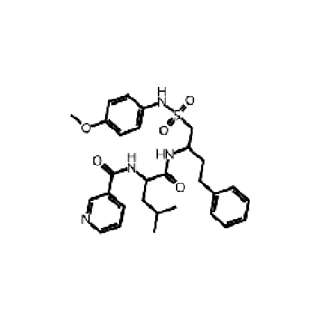 COc1ccc(NS(=O)(=O)CC(CCc2ccccc2)NC(=O)C(CC(C)C)NC(=O)c2cccnc2)cc1